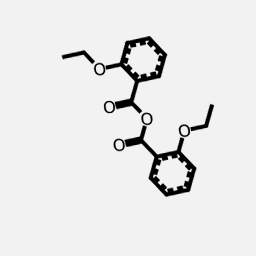 CCOc1ccccc1C(=O)OC(=O)c1ccccc1OCC